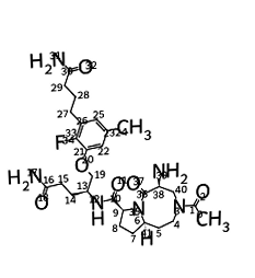 CC(=O)N1CC[C@H]2CC[C@@H](C(=O)N[C@@H](CCC(N)=O)COc3cc(C)cc(CCCC(N)=O)c3F)N2C(=O)[C@@H](N)C1